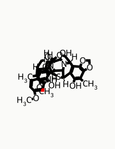 COc1ccc2c3c([nH]c2c1)[C@@]1(CS[C@@H]2c4c(O)c(C)c5c(c4[C@H](COC1=O)N1C2[C@H]2c4c(cc(C)c(OC)c4O)C[C@@H]([C@@H]1O)N2C)OCO5)NCC3